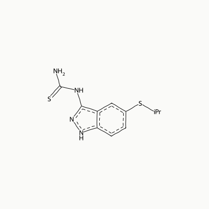 CC(C)Sc1ccc2[nH]nc(NC(N)=S)c2c1